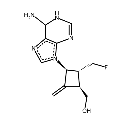 C=C1[C@@H](n2cnc3c2N=CNC3N)[C@H](CF)[C@H]1CO